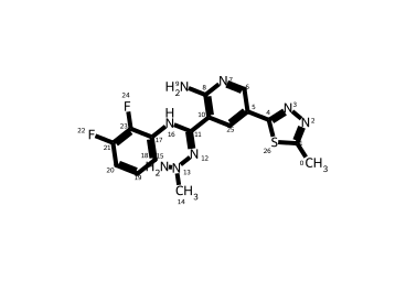 Cc1nnc(-c2cnc(N)c(/C(=N/N(C)N)Nc3cccc(F)c3F)c2)s1